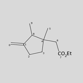 C=C1CCC(C)(CC(=O)OCC)C1C